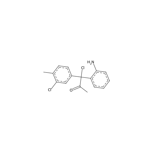 CC(=O)C(Cl)(c1ccc(C)c(Cl)c1)c1ccccc1N